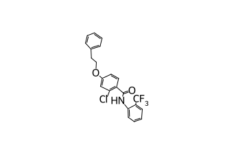 O=C(Nc1ccccc1C(F)(F)F)c1ccc(OCCc2ccccc2)cc1Cl